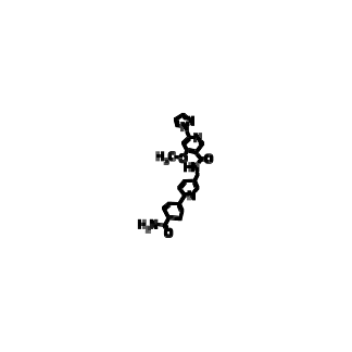 COc1cc(-n2cccn2)ncc1C(=O)NCc1ccc(-c2ccc(C(N)=O)cc2)nc1